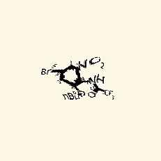 CCCCOc1cc(Br)cc([N+](=O)[O-])c1NC(=O)C(F)(F)F